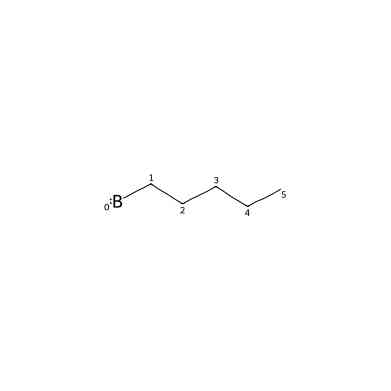 [B]CCCCC